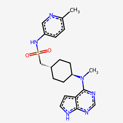 Cc1ccc(NS(=O)(=O)C[C@H]2CC[C@H](N(C)c3ncnc4[nH]ccc34)CC2)cn1